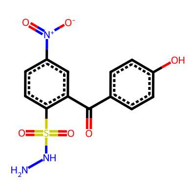 NNS(=O)(=O)c1ccc([N+](=O)[O-])cc1C(=O)c1ccc(O)cc1